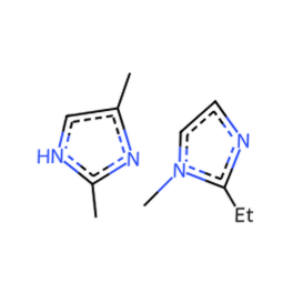 CCc1nccn1C.Cc1c[nH]c(C)n1